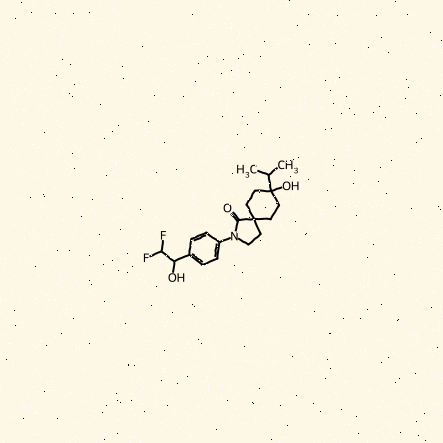 CC(C)C1(O)CCC2(CCN(c3ccc(C(O)C(F)F)cc3)C2=O)CC1